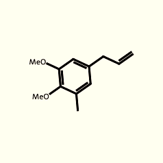 C=CCc1cc(C)c(OC)c(OC)c1